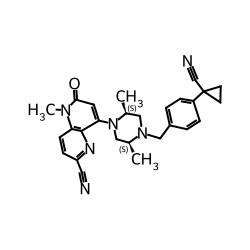 C[C@H]1CN(c2cc(=O)n(C)c3ccc(C#N)nc23)[C@@H](C)CN1Cc1ccc(C2(C#N)CC2)cc1